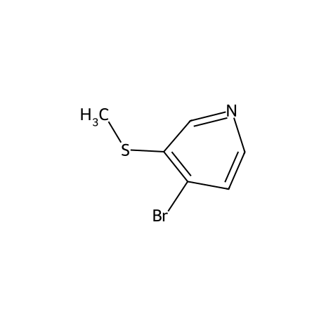 CSc1cnccc1Br